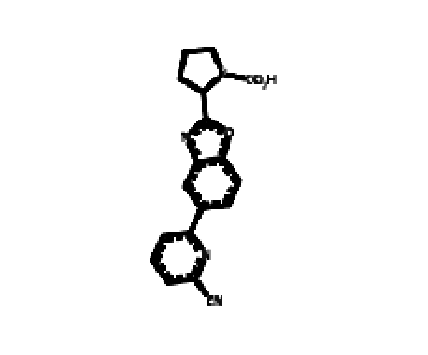 N#Cc1cccc(-c2ccc3oc(C4CCCN4C(=O)O)nc3c2)n1